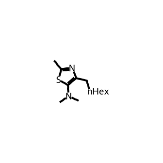 CCCCCCCc1nc(C)sc1N(C)C